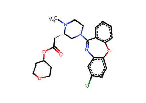 CN1CCN(C2=Nc3cc(Cl)ccc3Oc3ccccc32)C[C@@H]1CC(=O)OC1CCOCC1